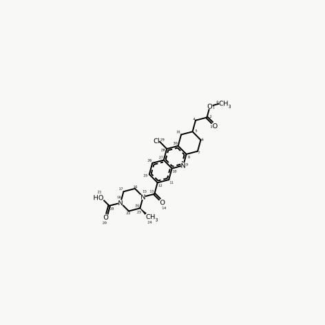 COC(=O)CC1CCc2nc3cc(C(=O)N4CCN(C(=O)O)C[C@@H]4C)ccc3c(Cl)c2C1